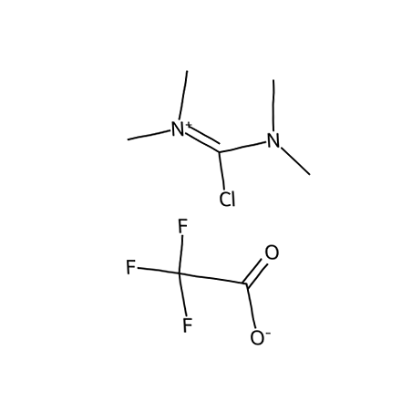 CN(C)C(Cl)=[N+](C)C.O=C([O-])C(F)(F)F